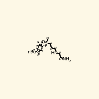 CCCC[Si](C)(C)O[Si](C)(C)O[Si](C)(C)CCCNCCN